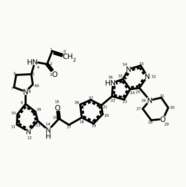 C=CC(=O)NC1CCN(c2ccnc(NC(=O)Cc3ccc(-c4cc5c(N6CCOCC6)ncnc5[nH]4)cc3)c2)C1